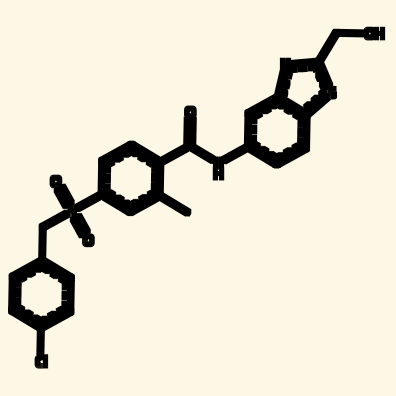 Cc1cc(S(=O)(=O)Cc2ccc(Cl)cc2)ccc1C(=O)Nc1ccc2sc(CO)nc2c1